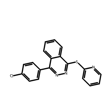 Clc1ccc(-c2nnc(Sc3ccccn3)c3ccccc23)cc1